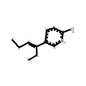 CC/C=C(\CC)c1ccc(Cl)nc1